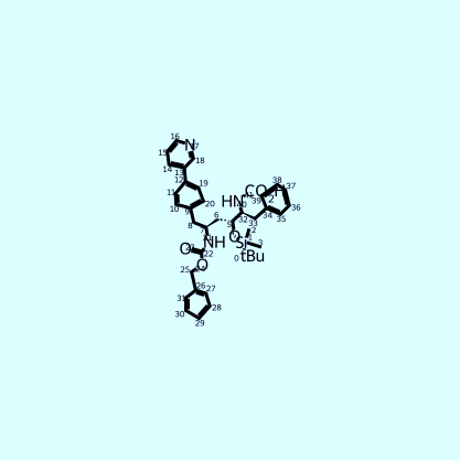 CC(C)(C)[Si](C)(C)O[C@H](C[C@H](Cc1ccc(-c2cccnc2)cc1)NC(=O)OCc1ccccc1)[C@H](Cc1ccccc1)NC(=O)O